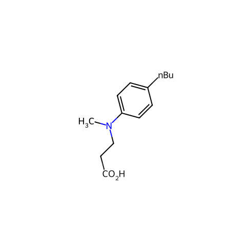 CCCCc1ccc(N(C)CCC(=O)O)cc1